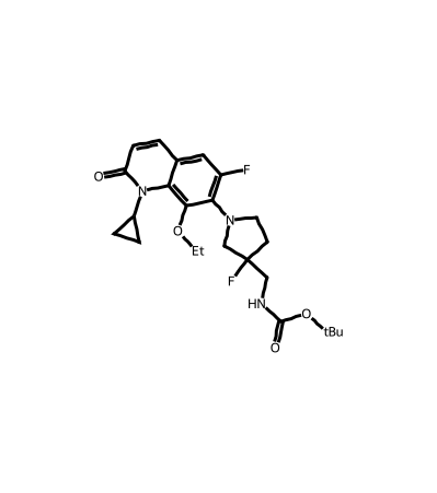 CCOc1c(N2CCC(F)(CNC(=O)OC(C)(C)C)C2)c(F)cc2ccc(=O)n(C3CC3)c12